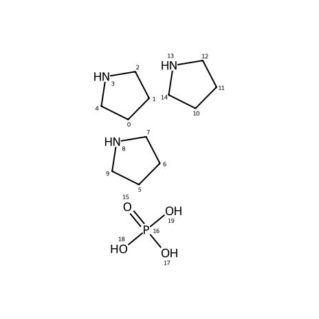 C1CCNC1.C1CCNC1.C1CCNC1.O=P(O)(O)O